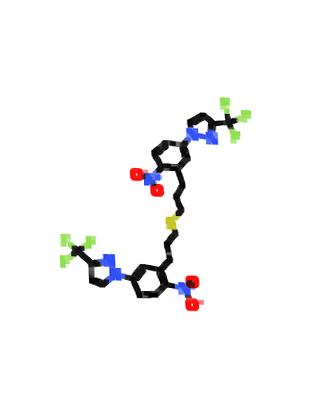 O=[N+]([O-])c1ccc(-n2ccc(C(F)(F)F)n2)cc1CCCSCCCc1cc(-n2ccc(C(F)(F)F)n2)ccc1[N+](=O)[O-]